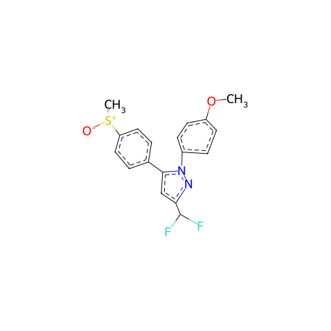 COc1ccc(-n2nc(C(F)F)cc2-c2ccc([S@@+](C)[O-])cc2)cc1